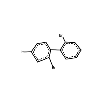 Brc1ccccc1-c1ccc(I)cc1Br